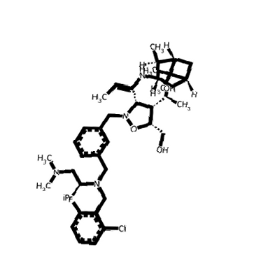 CC=C(N[C@H]1C[C@H]2C[C@@H]([C@@H]1C)C2(C)C)[C@@H]1[C@H]([C@H](C)O)[C@H](CO)ON1Cc1cccc(CN(Cc2c(F)cccc2Cl)[C@H](CN(C)C)C(C)C)c1